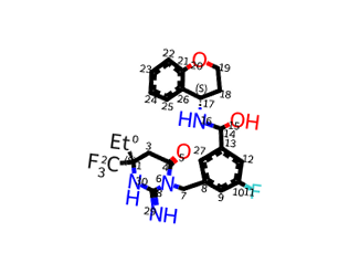 CC[C@@]1(C(F)(F)F)CC(=O)N(Cc2cc(F)cc(C(O)N[C@H]3CCOc4ccccc43)c2)C(=N)N1